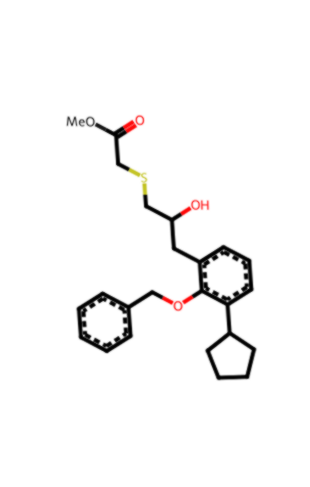 COC(=O)CSCC(O)Cc1cccc(C2CCCC2)c1OCc1ccccc1